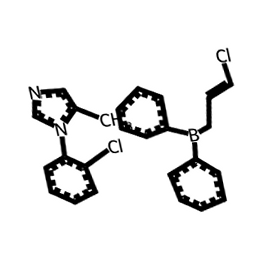 Cc1cncn1-c1ccccc1Cl.ClC=CCB(c1ccccc1)c1ccccc1